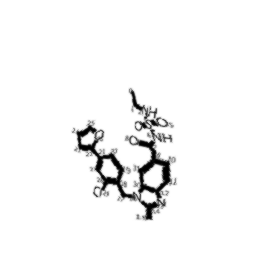 CCNS(=O)(=O)NC(=O)c1ccc2nc(C)n(Cc3ccc(-c4ccco4)cc3Cl)c2c1